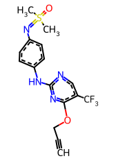 C#CCOc1nc(Nc2ccc(N=S(C)(C)=O)cc2)ncc1C(F)(F)F